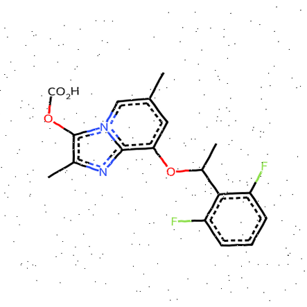 Cc1cc(OC(C)c2c(F)cccc2F)c2nc(C)c(OC(=O)O)n2c1